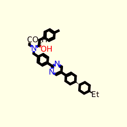 CC[C@H]1CC[C@H](C2CC=C(c3cnc(-c4ccc(CN(CC(=O)O)C(O)Cc5ccc(C)cc5)cc4)nc3)CC2)CC1